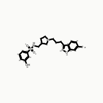 O=S(=O)(NCC1CCN(CCCc2noc3cc(F)ccc23)C1)c1cccc(O)c1